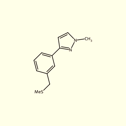 CSCc1cccc(-c2ccn(C)n2)c1